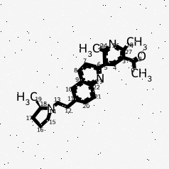 CC(=O)c1cc(-c2ccc3cc(CCN4CCC[C@H]4C)ccc3n2)c(C)nc1C